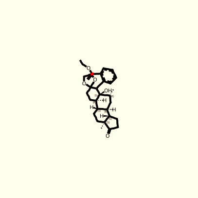 C=C(OCC)c1ccccc1C1C2(CC[C@@H]3[C@H]4CC[C@]5(C)C(=O)CC[C@H]5[C@@H]4C[C@@H](C)[C@@]13O)OCCO2